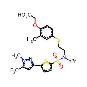 CCCN(CCSc1ccc(OCC(=O)O)c(C)c1)S(=O)(=O)c1ccc(-c2cc(C(F)(F)F)n(C)n2)s1